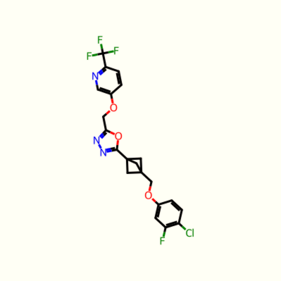 Fc1cc(OCC23CC(c4nnc(COc5ccc(C(F)(F)F)nc5)o4)(C2)C3)ccc1Cl